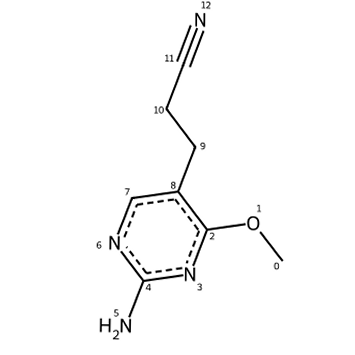 COc1nc(N)ncc1CCC#N